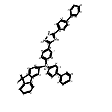 CC1(C)c2ccccc2-c2cc(N(c3ccc(-c4ccccc4)cc3)c3ccc(-c4nsc(-c5ccc(-c6ccccc6)cc5)n4)cc3)ccc21